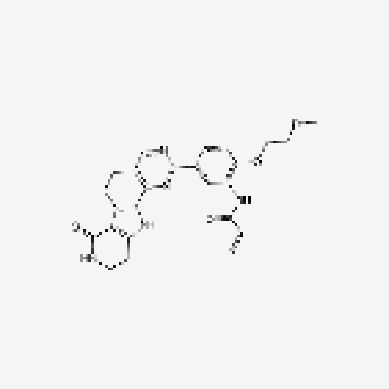 C=CC(=O)Nc1cc(-c2ncc3c(n2)-c2[nH]c4c(c2CC3)C(=O)NCC4)ccc1OCCOC